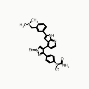 CCN(C(N)=O)c1ccc(-c2nn(CC)cc2-c2ccnc3[nH]c(-c4cccc(CN(C)C)c4)cc23)cc1